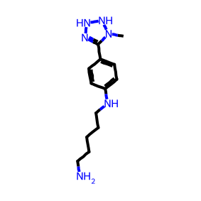 CN1NNN=C1c1ccc(NCCCCCN)cc1